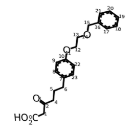 O=C(O)CC(=O)CCCc1ccc(OCCOCc2ccccc2)cc1